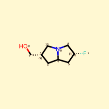 OC[C@H]1CC2C[C@@H](F)CN2C1